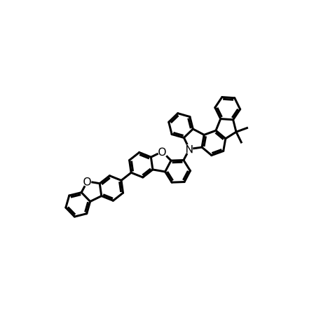 CC1(C)c2ccccc2-c2c1ccc1c2c2ccccc2n1-c1cccc2c1oc1ccc(-c3ccc4c(c3)oc3ccccc34)cc12